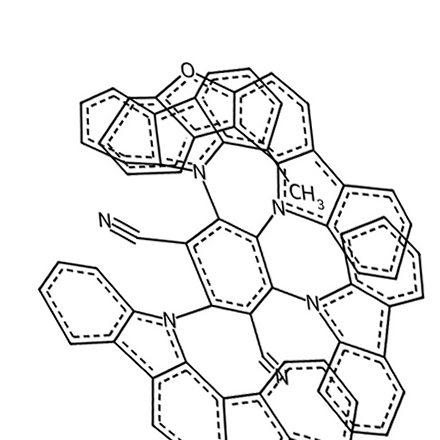 Cc1cccc2c3ccccc3n(-c3c(C#N)c(-n4c5ccccc5c5ccc6oc7ccccc7c6c54)c(C#N)c(-n4c5ccccc5c5ccccc54)c3-n3c4ccccc4c4ccc5oc6ccccc6c5c43)c12